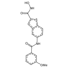 COc1cccc(C(=O)Nc2ccc3sc(C(=O)NO)cc3c2)c1